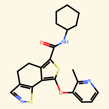 Cc1ncccc1Oc1sc(C(=O)NC2CCCCC2)c2c1-c1sncc1CC2